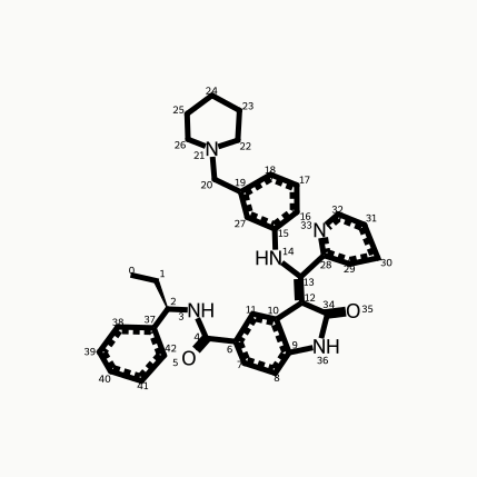 CC[C@@H](NC(=O)c1ccc2c(c1)C(=C(Nc1cccc(CN3CCCCC3)c1)c1ccccn1)C(=O)N2)c1ccccc1